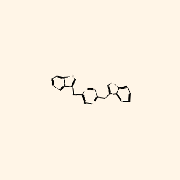 c1ccc2c(Cc3cnc(Cc4c[nH]c5ccccc45)cn3)c[nH]c2c1